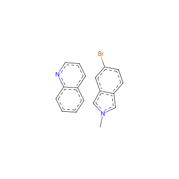 Cn1cc2ccc(Br)cc2c1.c1ccc2ncccc2c1